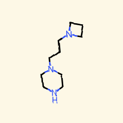 C1CN(CCCN2CCNCC2)C1